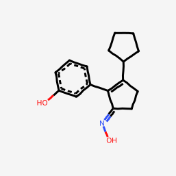 ON=C1CCC(C2CCCC2)=C1c1cccc(O)c1